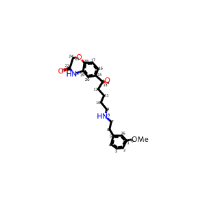 COc1cccc(CCNCCCCC(=O)c2ccc3c(c2)NC(=O)CO3)c1